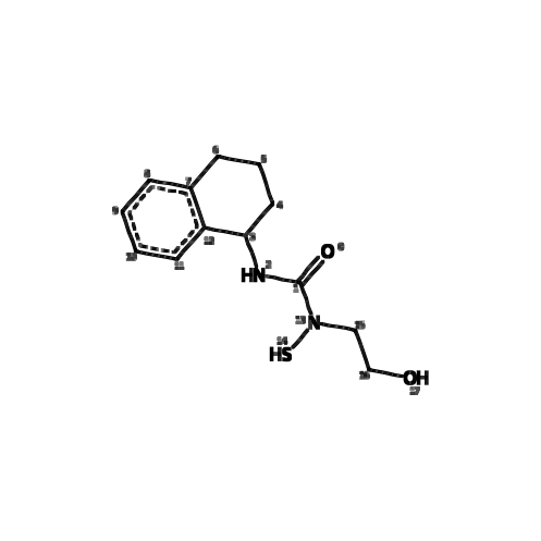 O=C(NC1CCCc2ccccc21)N(S)CCO